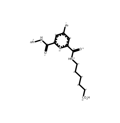 CCCNC(=O)c1cc(C(C)C)cc(C(=O)NCCCCCC(=O)O)n1